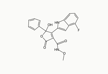 CONC(=O)C1=C(c2cc3c(F)cccc3[nH]2)C(O)(c2ccccc2)OC1=O